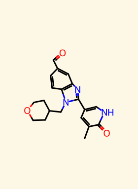 Cc1cc(-c2nc3cc(C=O)ccc3n2CC2CCOCC2)c[nH]c1=O